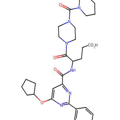 O=C(O)CCC(NC(=O)c1cc(OC2CCCC2)nc(-c2ccccc2)n1)C(=O)N1CCN(C(=O)N2CCCCC2)CC1